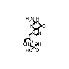 C=C[C@@H](Cn1cnc2c(=O)[nH]c(N)nc21)OCP(=O)(O)O